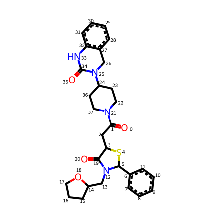 O=C(CC1SC(c2ccccc2)N(CC2CCCO2)C1=O)N1CCC(N2Cc3ccccc3NC2=O)CC1